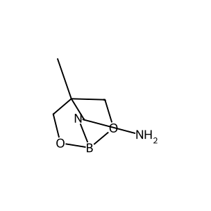 CC12COB(OC1)N(N)C2